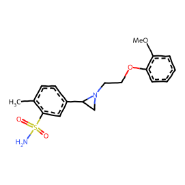 COc1ccccc1OCCN1CC1c1ccc(C)c(S(N)(=O)=O)c1